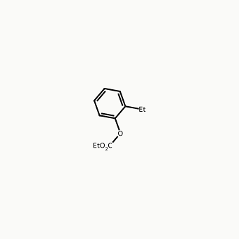 [CH2]COC(=O)Oc1ccccc1CC